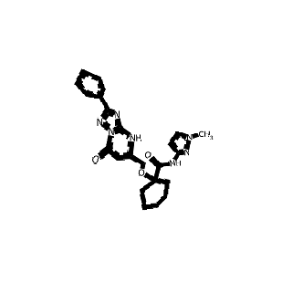 Cn1ccc(NC(=O)C2(OCc3cc(=O)n4nc(-c5ccccc5)nc4[nH]3)CCCCC2)n1